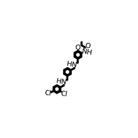 CC1Oc2ccc(CNCc3cccc(CNCc4ccc(Cl)cc4Cl)c3)cc2NC1=O